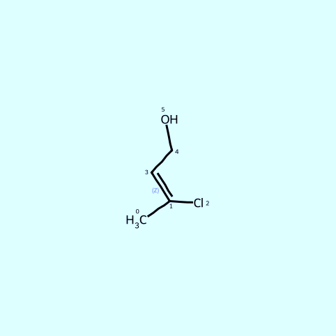 C/C(Cl)=C/CO